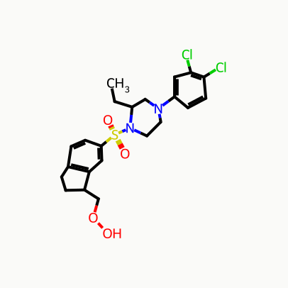 CCC1CN(c2ccc(Cl)c(Cl)c2)CCN1S(=O)(=O)c1ccc2c(c1)C(COO)CC2